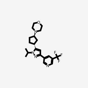 CC(C)n1nc(-c2cncc(C(F)(F)F)c2)cc1[C@@H]1CC[C@@H](N2CCOCC2)C1